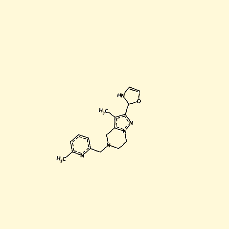 Cc1cccc(CN2CCn3nc(C4NC=CO4)c(C)c3C2)n1